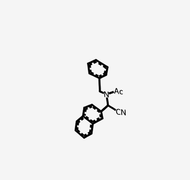 CC(=O)N(Cc1ccccc1)C(C#N)c1ccc2ccccc2c1